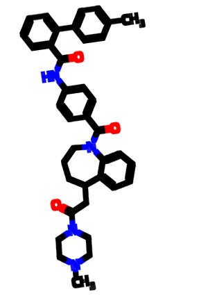 Cc1ccc(-c2ccccc2C(=O)Nc2ccc(C(=O)N3CCCC(CC(=O)N4CCN(C)CC4)c4ccccc43)cc2)cc1